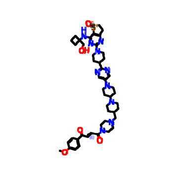 COc1ccc(C(=O)/C=C/C(=O)N2CCN(CC3CCN(C4CCN(c5cnc(C6CCN(c7nc8c(c(NC9(CO)CCC9)n7)[S@+]([O-])CC8)CC6)nc5)CC4)CC3)CC2)cc1